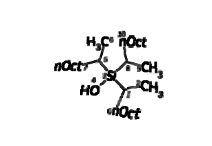 CCCCCCCCC(C)[Si](O)(C(C)CCCCCCCC)C(C)CCCCCCCC